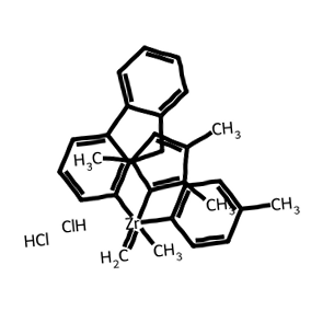 Cl.Cl.[CH2]=[Zr]([CH3])([C]1=C(C)C(C)=CC1C)([c]1ccc(C)cc1)[c]1cccc2c1Cc1ccccc1-2